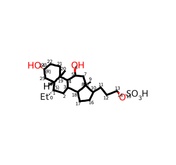 CC[C@H]1CC2C(C(O)C[C@]3(C)C(CCCOS(=O)(=O)O)CCC23)C2(C)CC[C@@H](O)C[C@@H]12